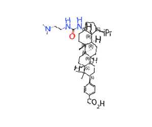 CC(C)[C@@H]1CC[C@]2(NC(=O)NCCN(C)C)CC[C@]3(C)[C@H](CC[C@@H]4[C@@]5(C)CC[C@@H](c6ccc(C(=O)O)cc6)C(C)(C)[C@@H]5CC[C@]43C)[C@@H]12